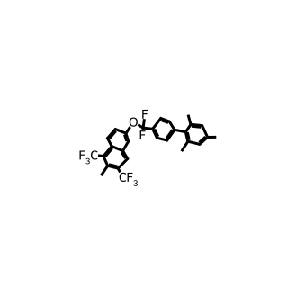 Cc1cc(C)c(-c2ccc(C(F)(F)Oc3ccc4c(C(F)(F)F)c(C)c(C(F)(F)F)cc4c3)cc2)c(C)c1